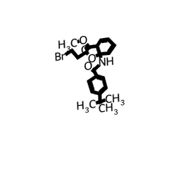 COC(=O)C1C=CC=CC1(NC(=O)c1ccc(C(C)(C)C)cc1)OCCCBr